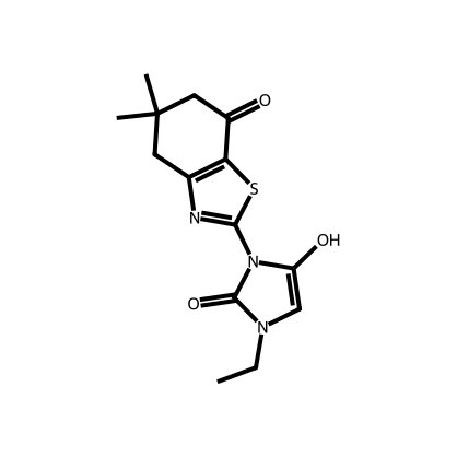 CCn1cc(O)n(-c2nc3c(s2)C(=O)CC(C)(C)C3)c1=O